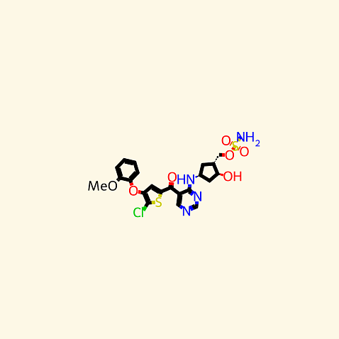 COc1ccccc1Oc1cc(C(=O)c2cncnc2N[C@@H]2C[C@H](COS(N)(=O)=O)[C@@H](O)C2)sc1Cl